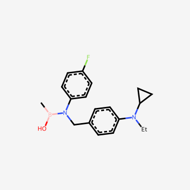 CCN(c1ccc(CN(B(C)O)c2ccc(F)cc2)cc1)C1CC1